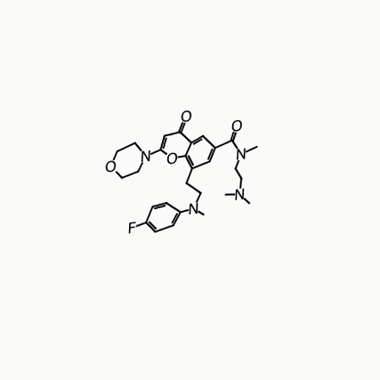 CN(C)CCN(C)C(=O)c1cc(CCN(C)c2ccc(F)cc2)c2oc(N3CCOCC3)cc(=O)c2c1